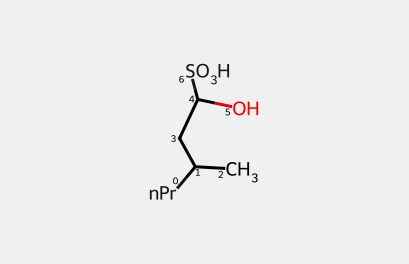 CCCC(C)CC(O)S(=O)(=O)O